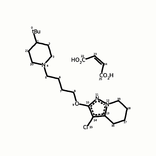 CC(C)(C)C1CCN(CCCCOc2nn3c(c2Cl)CCCC3)CC1.O=C(O)/C=C\C(=O)O